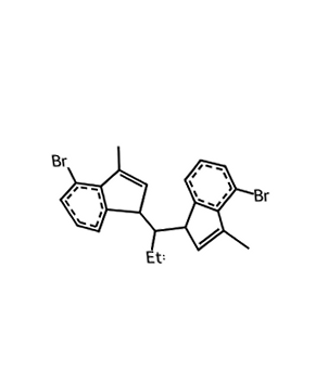 C[C]C(C1C=C(C)c2c(Br)cccc21)C1C=C(C)c2c(Br)cccc21